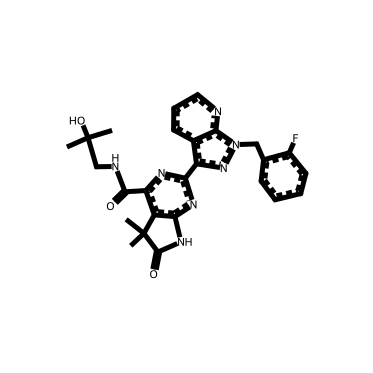 CC(C)(O)CNC(=O)c1nc(-c2nn(Cc3ccccc3F)c3ncccc23)nc2c1C(C)(C)C(=O)N2